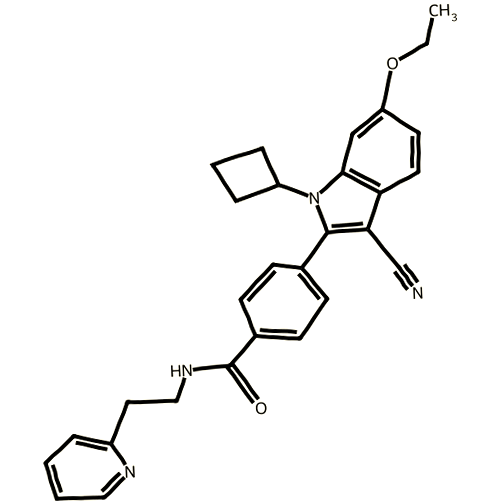 CCOc1ccc2c(C#N)c(-c3ccc(C(=O)NCCc4ccccn4)cc3)n(C3CCC3)c2c1